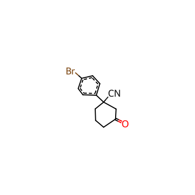 N#CC1(c2ccc(Br)cc2)CCCC(=O)C1